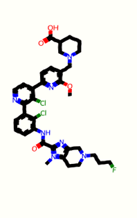 COc1nc(-c2ccnc(-c3cccc(NC(=O)c4nc5c(n4C)CCN(CCCF)C5)c3Cl)c2Cl)ccc1CN1CCCC(C(=O)O)C1